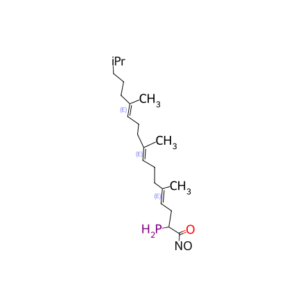 C/C(=C\CC/C(C)=C/CC(P)C(=O)N=O)CC/C=C(\C)CCCC(C)C